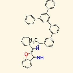 C/C(=N\C(=C1\Oc2ccccc2C1=N)c1ccccc1)c1cccc(-c2cccc(-c3cc(-c4ccccc4)cc(-c4ccccc4)c3)c2)c1